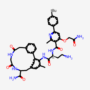 Cc1cc2cc(c1NC(=O)[C@H](CCN)NC(=O)c1c(OCC(N)=O)cc(-c3ccc(C(C)(C)C)cc3)nc1C)-c1cccc(c1)CC(=O)NCC(=O)NC(C(N)=O)C2